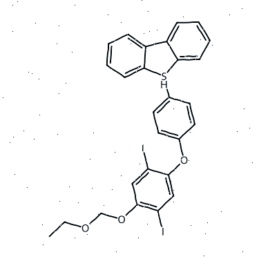 CCOCOc1cc(I)c(Oc2ccc([SH]3c4ccccc4-c4ccccc43)cc2)cc1I